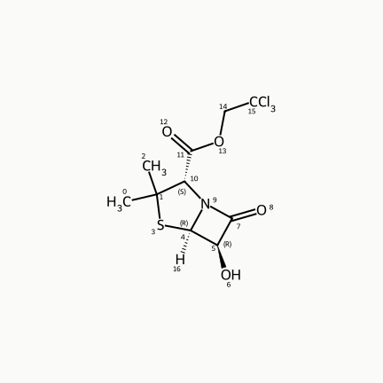 CC1(C)S[C@@H]2[C@H](O)C(=O)N2[C@H]1C(=O)OCC(Cl)(Cl)Cl